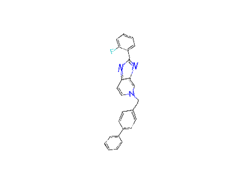 Fc1ccccc1-c1nc2ccn(Cc3ccc(-c4ccccc4)cc3)cc-2n1